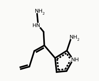 C=C/C=C(/CNN)c1cc[nH]c1N